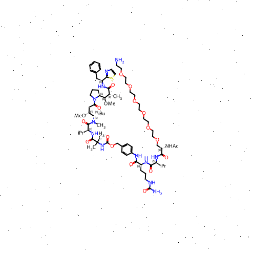 CC[C@H](C)[C@@H]([C@@H](CC(=O)N1CCC[C@H]1[C@H](OC)[C@@H](C)C(=O)N[C@@H](Cc1ccccc1)c1nccs1)OC)N(C)C(=O)[C@@H](NC(=O)C(C)(C)NC(=O)OCc1ccc(NC(=O)[C@H](CCCNC(N)=O)NC(=O)[C@@H](NC(=O)[C@H](COCCOCCOCCOCCOCCOCCN)NC(C)=O)C(C)C)cc1)C(C)C